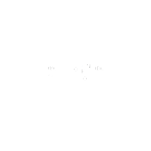 CC(C)(C)/N=[P+](\[O-])Oc1cccc(OC(C)(C)C)c1